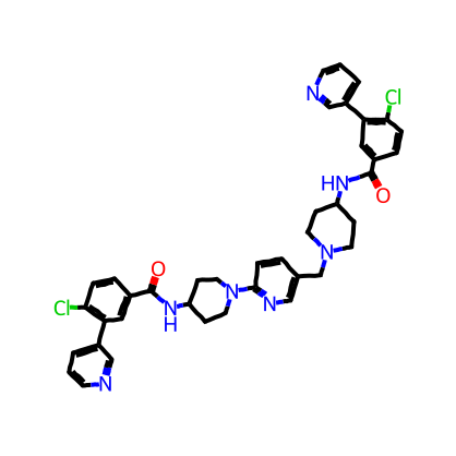 O=C(NC1CCN(Cc2ccc(N3CCC(NC(=O)c4ccc(Cl)c(-c5cccnc5)c4)CC3)nc2)CC1)c1ccc(Cl)c(-c2cccnc2)c1